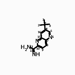 CC(C)(C)c1cnc2ccc(C(=N)N)nc2c1